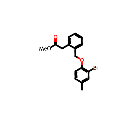 COC(=O)Cc1ccccc1COc1ccc(C)cc1Br